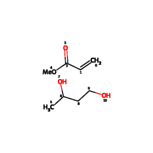 C=CC(=O)OC.CC(O)CCO